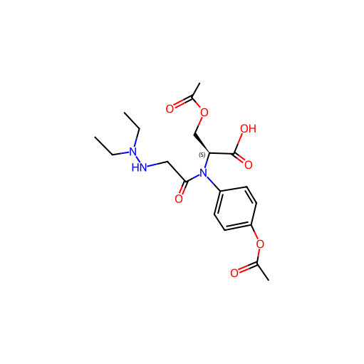 CCN(CC)NCC(=O)N(c1ccc(OC(C)=O)cc1)[C@@H](COC(C)=O)C(=O)O